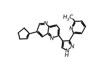 Cc1cccc(-c2n[nH]cc2-c2ccc3ncc(C4=CCCC4)cc3n2)n1